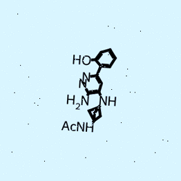 CC(=O)NC12CC(Nc3cc(-c4ccccc4O)nnc3N)(C1)C2